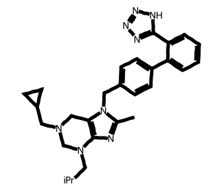 Cc1nc2c(n1Cc1ccc(-c3ccccc3-c3nnn[nH]3)cc1)CN(CC1CC1)CN2CC(C)C